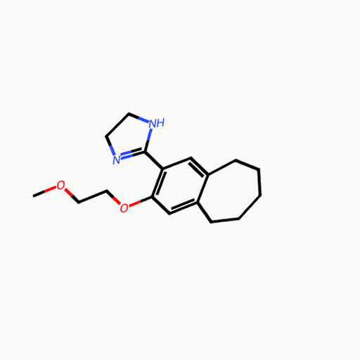 COCCOc1cc2c(cc1C1=NCCN1)CCCCC2